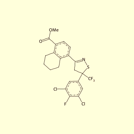 COC(=O)c1ccc(C2=NSC(c3cc(Cl)c(F)c(Cl)c3)(C(F)(F)F)C2)c2c1CCCC2